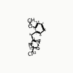 COc1ccccc1Cc1nsc(Cl)n1